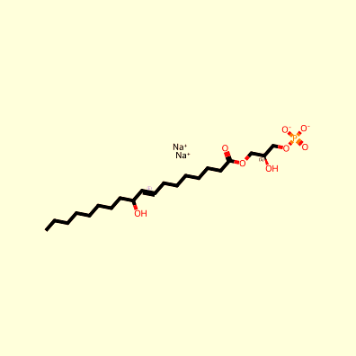 CCCCCCCCC(O)/C=C/CCCCCCC(=O)OC[C@H](O)COP(=O)([O-])[O-].[Na+].[Na+]